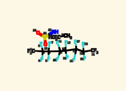 CC(=O)O.FC(F)(F)C(F)(F)C(F)(F)C(F)(F)C(F)(F)C(F)(F)C(F)(F)C(F)(F)F.N=S(=O)=O